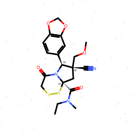 CCN(C)C(=O)[C@@]12C[C@@](C#N)(COC)[C@H](c3ccc4c(c3)OCO4)N1C(=O)CSS2